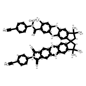 C#Cc1ccc(N(C=O)C(=O)c2cc3c(cc2C)Oc2cc4c(cc2O3)C2(CC4(C)C)CC(C)(C)c3cc4oc5cc6c(=O)n(-c7ccc(C#C)cc7)c(=O)c6cc5oc4cc32)cc1